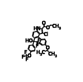 CCOC(=O)c1[nH]c2ccc(C(O)(c3ccc(OC(F)(F)F)cc3)C(F)(F)F)c(-c3ccc(OC(C)C)cc3)c2c1Cl